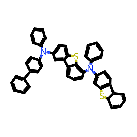 C1=CC2Sc3cc(N(c4ccccc4)c4cccc5c4sc4ccc(N(c6ccccc6)c6ccc(-c7ccccc7)cc6)cc45)ccc3C2C=C1